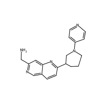 NCc1cc2nc(C3CCCN(c4ccncc4)C3)ccc2cn1